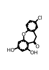 O=C1Cc2cc(Cl)ccc2Oc2cc(O)cc(O)c21